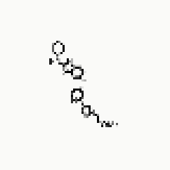 COCCn1cc(-c2cc(Oc3ccc4nc(NC5CCCCC5)sc4c3)ccn2)cn1